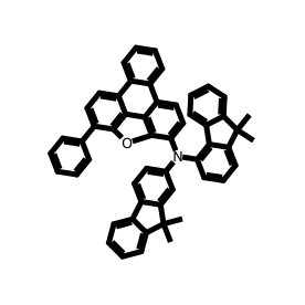 CC1(C)c2ccccc2-c2ccc(N(c3cccc4c3-c3ccccc3C4(C)C)c3ccc4c5ccccc5c5ccc(-c6ccccc6)c6oc3c4c65)cc21